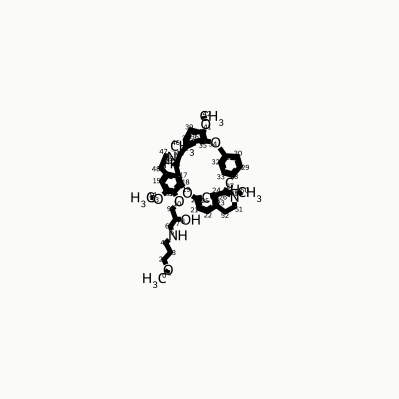 COCCCNCC(O)COc1c(OC)cc2c3c1Oc1ccc4c(c1)[C@H](Cc1ccc(cc1)Oc1cc(ccc1OC)C[C@@H]3N(C)CC2)N(C)CC4